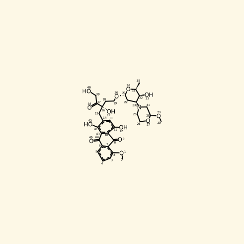 COc1cccc2c1C(=O)c1c(O)cc(C[C@](O)(CCO[C@H]3C[C@H](N4CCO[C@H](OC)C4)[C@H](O)[C@H](C)O3)C(=O)CO)c(O)c1C2=O